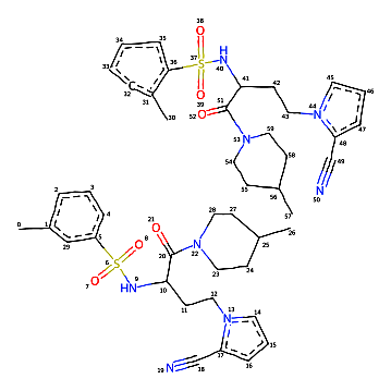 Cc1cccc(S(=O)(=O)NC(CCn2cccc2C#N)C(=O)N2CCC(C)CC2)c1.Cc1ccccc1S(=O)(=O)NC(CCn1cccc1C#N)C(=O)N1CCC(C)CC1